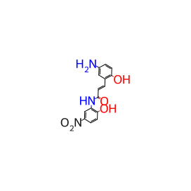 Nc1ccc(O)c(C=CC(=O)Nc2cc([N+](=O)[O-])ccc2O)c1